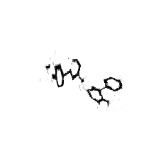 CC(=O)[C@@H](OC(C)(C)C)c1c(C)cc2nc(-c3ccnc(-c4ccc5c(c4)[nH]c(=O)n5C)c3)sc2c1-c1ccc(Cl)cc1